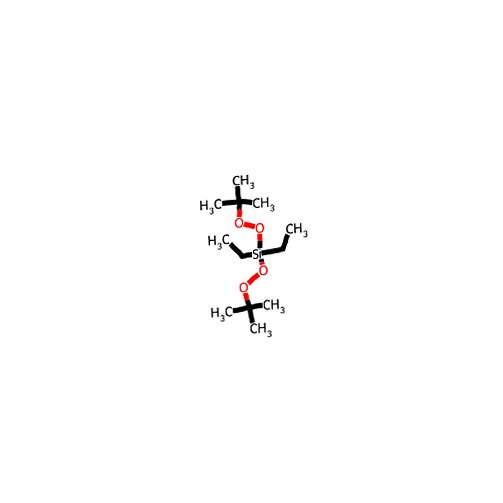 CC[Si](CC)(OOC(C)(C)C)OOC(C)(C)C